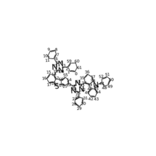 C1=CC(c2nc(-c3ccccc3)nc(-c3cccc4sc5cc(-c6nc(-c7ccccc7)nc(-c7cccc8c7c7ccccc7n8-c7ccccc7)n6)ccc5c34)n2)=CCC1